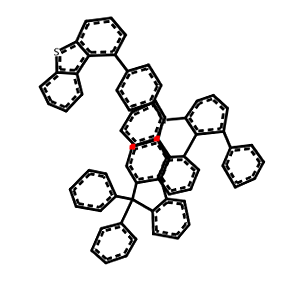 c1ccc(-c2ccccc2-c2c(-c3ccccc3)cccc2N(c2ccc(-c3cccc4sc5ccccc5c34)cc2)c2ccc3c(c2)-c2ccccc2C3(c2ccccc2)c2ccccc2)cc1